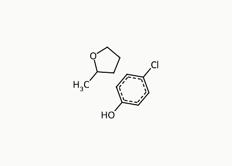 CC1CCCO1.Oc1ccc(Cl)cc1